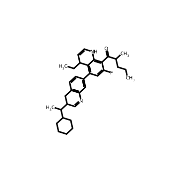 CCCC(C)C(=O)c1c(F)cc(-c2ccc3c(c2)N=CC(C(C)C2CCCCC2)C3)c2c1NC=CC2CC